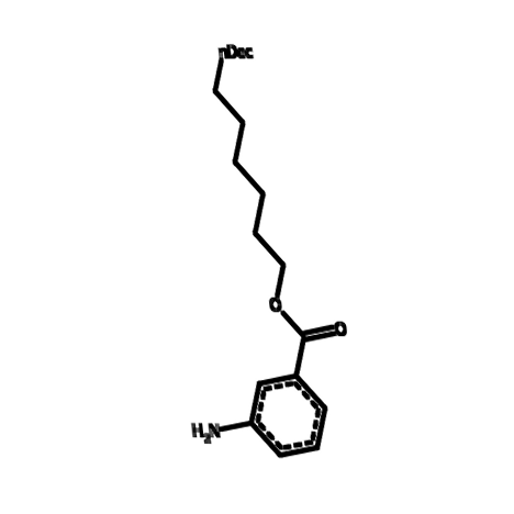 CCCCCCCCCCCCCCCCOC(=O)c1cccc(N)c1